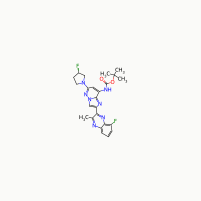 Cc1nc2cccc(F)c2nc1-c1cn2nc(N3CC[C@@H](F)C3)cc(NC(=O)OC(C)(C)C)c2n1